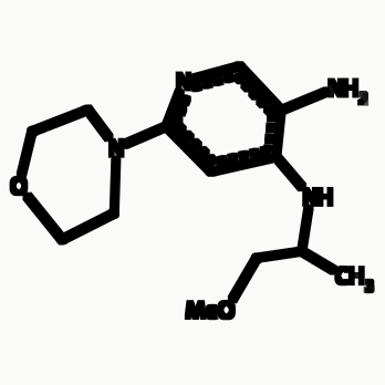 COCC(C)Nc1cc(N2CCOCC2)ncc1N